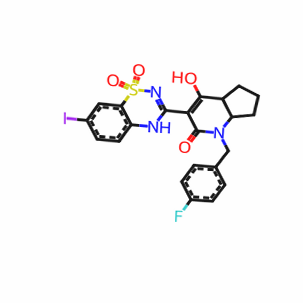 O=C1C(C2=NS(=O)(=O)c3cc(I)ccc3N2)=C(O)C2CCCC2N1Cc1ccc(F)cc1